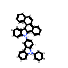 C1=CCC2C=CC3=c4ccccc4=C4C(c5ccccc5N4c4ccc5c(c4)c4ccccc4n5C4C=CC=CC4)C3C2=C1